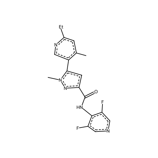 CCc1cc(C)c(-c2cc(C(=O)Nc3c(F)cncc3F)nn2C)cn1